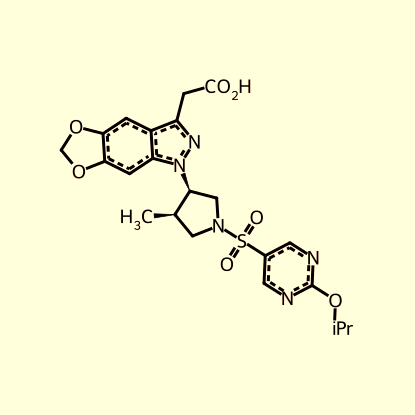 CC(C)Oc1ncc(S(=O)(=O)N2C[C@@H](C)[C@@H](n3nc(CC(=O)O)c4cc5c(cc43)OCO5)C2)cn1